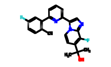 CC(C)(O)c1ccn2c(-c3cccc(-c4cc(F)ccc4C#N)n3)cnc2c1F